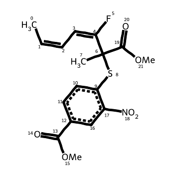 C/C=C\C=C(\F)C(C)(Sc1ccc(C(=O)OC)cc1[N+](=O)[O-])C(=O)OC